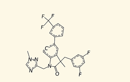 Cn1cnc(CN2C(=O)C(C)(Cc3cc(F)cc(F)c3)c3cc(-c4cccc(C(F)(F)F)c4)ccc32)n1